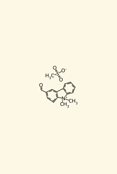 CS(=O)(=O)[O-].C[N+]1(C)c2ccccc2-c2cc(C=O)ccc21